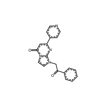 O=C(Cn1ccn2c(=O)cc(-c3ccncc3)nc12)c1ccccc1